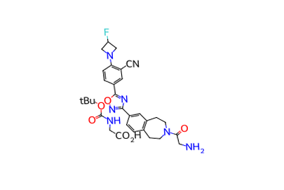 CC(C)(C)OC(=O)NCC(=O)O.N#Cc1cc(-c2nc(-c3ccc4c(c3)CCN(C(=O)CN)CC4)no2)ccc1N1CC(F)C1